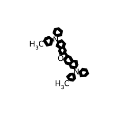 Cc1ccc(N(c2ccccc2)c2ccc3cc4c(cc3c2)oc2cc3cc(N(c5ccccc5)c5ccc(C)cc5)ccc3cc24)cc1